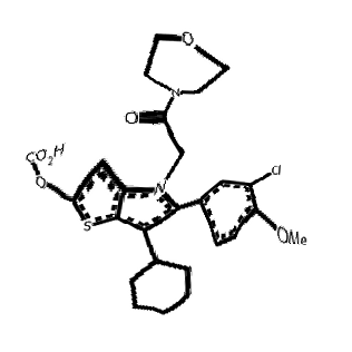 COc1ccc(-c2c(C3CCCCC3)c3sc(OC(=O)O)cc3n2CC(=O)N2CCOCC2)cc1Cl